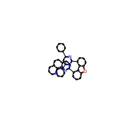 c1ccc(-c2cc(-c3ccccc3)nc(-c3cccc4oc5cccc(-c6ccc7ccc8cccnc8c7n6)c5c34)n2)cc1